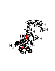 CN(C(=O)[C@@H](Cc1ccc(O)cc1)NC(=O)[C@@H](Cc1ccc(N)cc1)NC(=O)CCC(C(=O)O)N1CCN(CC(=O)O)CCN(CC(=O)O)CCN(CC(=O)O)CC1)[C@H](Cc1ccc2ccccc2c1)C(=O)N[C@H](CCCCNC(=O)CCC(=O)NCCC[C@H](NC(=O)CC[C@H](NC(=O)N[C@@H](CCC(=O)O)C(=O)O)C(=O)O)C(=O)O)C(=O)O